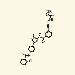 Cn1nc(-c2ccc(NC(=O)c3ccccc3Cl)cc2)cc1NC(=O)c1cccc(C#CCNC(=O)OC(C)(C)C)c1